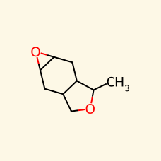 CC1OCC2CC3OC3CC21